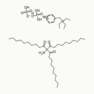 CCCCCCCCCC(=O)C(N)(C(=O)CCCCCCCCC)C(=O)CCCCCCCCC.CC[N+](CC)(CC)Cc1ccccc1.N.O=P(O)(O)O.O=S(=O)([O-])O